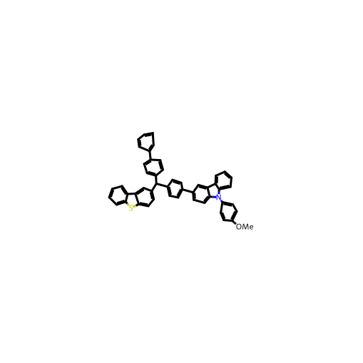 COc1ccc(-n2c3ccccc3c3cc(-c4ccc(C(c5ccc(-c6ccccc6)cc5)c5ccc6sc7ccccc7c6c5)cc4)ccc32)cc1